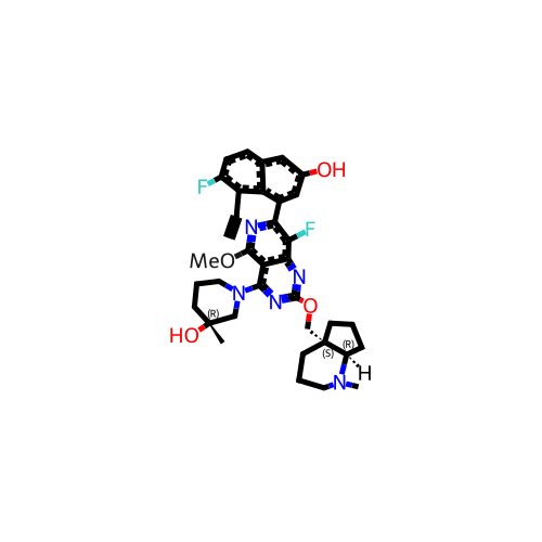 C#Cc1c(F)ccc2cc(O)cc(-c3nc(OC)c4c(N5CCC[C@@](C)(O)C5)nc(OC[C@]56CCC[C@H]5N(C)CCC6)nc4c3F)c12